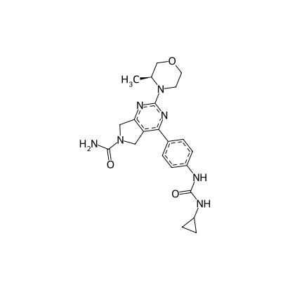 C[C@H]1COCCN1c1nc2c(c(-c3ccc(NC(=O)NC4CC4)cc3)n1)CN(C(N)=O)C2